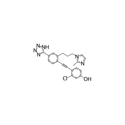 Cc1nccn1CCCc1cc(-c2nnn[nH]2)ccc1C#Cc1ccc(O)cc1Cl